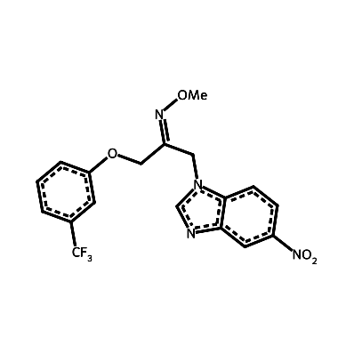 CO/N=C(/COc1cccc(C(F)(F)F)c1)Cn1cnc2cc([N+](=O)[O-])ccc21